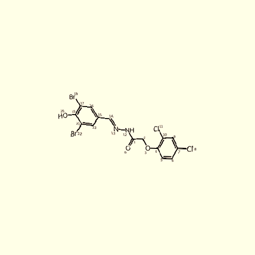 O=C(COc1ccc(Cl)cc1Cl)NN=Cc1cc(Br)c(O)c(Br)c1